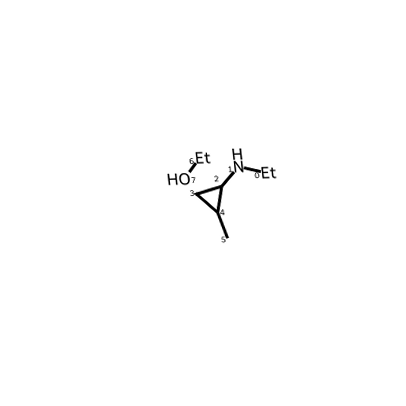 CCNC1CC1C.CCO